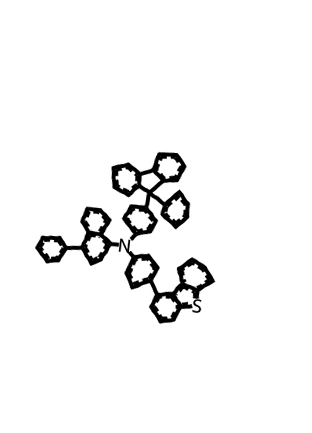 c1ccc(-c2ccc(N(c3ccc(-c4cccc5sc6ccccc6c45)cc3)c3ccc(C4(c5ccccc5)c5ccccc5-c5ccccc54)cc3)c3ccccc23)cc1